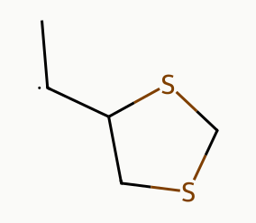 C[CH]C1CSCS1